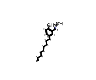 CCCCCCCCCc1ccc(O)c(/C=N/O)c1